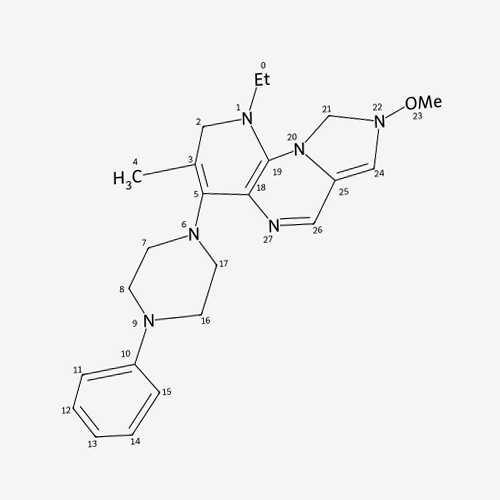 CCN1CC(C)=C(N2CCN(c3ccccc3)CC2)C2=C1N1CN(OC)C=C1C=N2